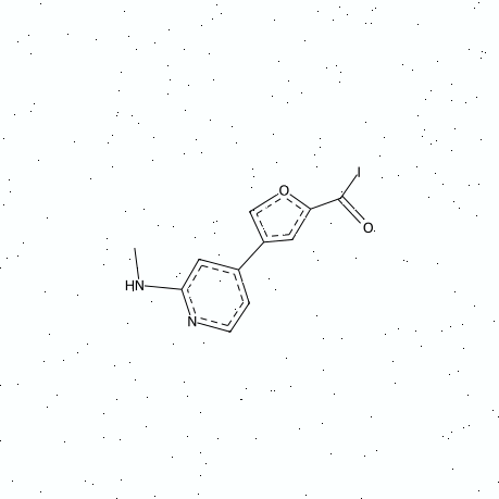 CNc1cc(-c2coc(C(=O)I)c2)ccn1